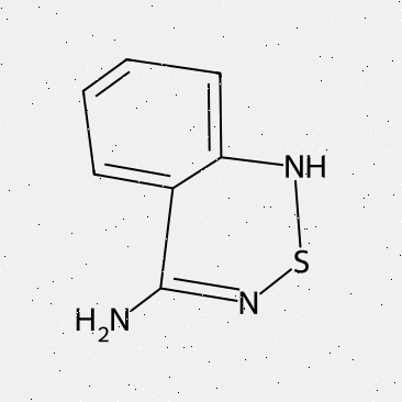 NC1=NSNc2ccccc21